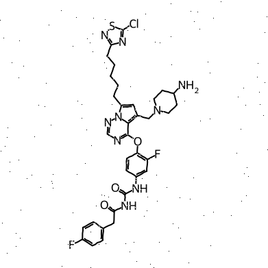 NC1CCN(Cc2cc(CCCCCc3nsc(Cl)n3)n3ncnc(Oc4ccc(NC(=O)NC(=O)Cc5ccc(F)cc5)cc4F)c23)CC1